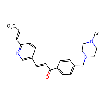 CC(=O)N1CCN(Cc2ccc(C(=O)C=Cc3ccc(C=CC(=O)O)nc3)cc2)CC1